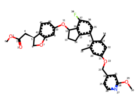 COC(=O)C[C@@H]1COc2cc(OC3CCc4c(-c5c(C)cc(OCc6ccnc(OC)c6)cc5C)ccc(F)c43)ccc21